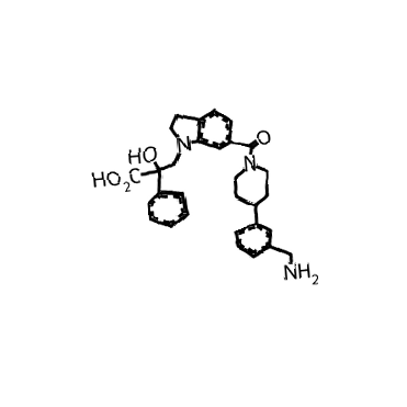 NCc1cccc(C2CCN(C(=O)c3ccc4c(c3)N(CC(O)(C(=O)O)c3ccccc3)CC4)CC2)c1